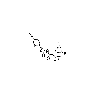 N#Cc1ccc(N2C[C@@H]3C2CN3C(=O)CNC2(c3ccc(F)cc3F)CC2)nc1